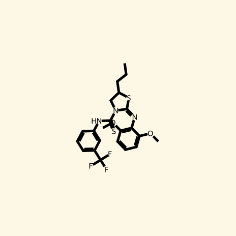 CCCC1CN(C(=S)Nc2cccc(C(F)(F)F)c2)/C(=N\c2c(OC)cccc2OC)S1